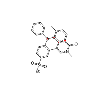 CCS(=O)(=O)c1ccc(Oc2c(C)cccc2C)c(-c2cn(C)c(=O)cc2OCc2ccccc2)c1